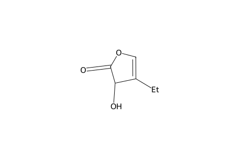 CCC1=COC(=O)C1O